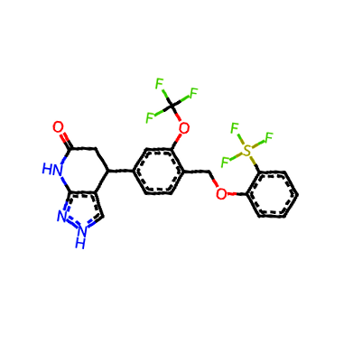 O=C1CC(c2ccc(COc3ccccc3S(F)(F)F)c(OC(F)(F)F)c2)c2c[nH]nc2N1